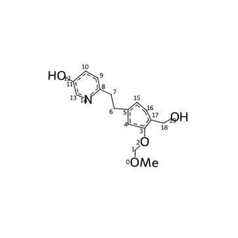 COCOc1cc(CCc2ccc(O)cn2)ccc1CO